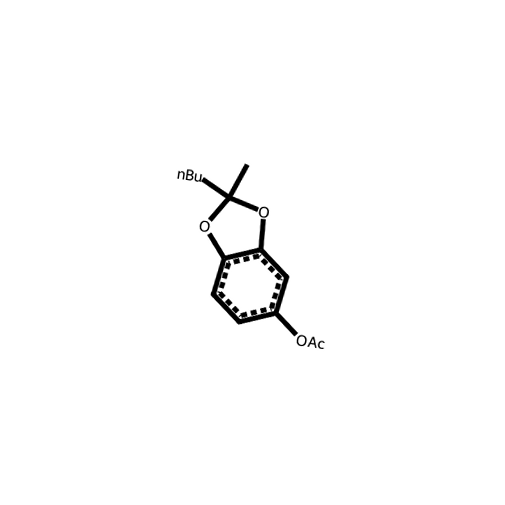 CCCCC1(C)Oc2ccc(OC(C)=O)cc2O1